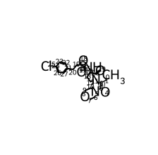 CC[C@@H](C(=O)N1CCOCC1)N1CC[C@H](NS(=O)(=O)CCc2ccc(Cl)cc2)C1=O